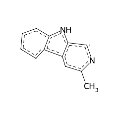 Cc1cc2c([c]n1)[nH]c1ccccc12